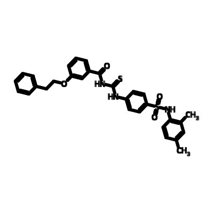 Cc1ccc(NS(=O)(=O)c2ccc(NC(=S)NC(=O)c3cccc(OCCc4ccccc4)c3)cc2)c(C)c1